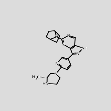 C[C@@H]1CN(c2ccc(-c3n[nH]c4cnc(N5C6CCC5CC6)nc34)cn2)CCN1